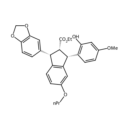 CCCOc1ccc2c(c1)[C@@H](c1ccc(OC)cc1O)[C@@H](C(=O)OCC)[C@H]2c1ccc2c(c1)OCO2